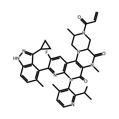 C=CC(=O)N1CC2C(=O)N(C)c3c(c4cc(F)c(-c5c(C)ccc6[nH]nc(C7CC7)c56)nc4n(-c4c(C)ccnc4C(C)C)c3=O)N2CC1C